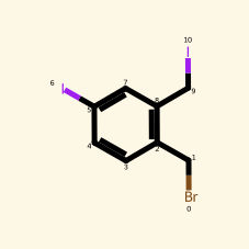 BrCc1ccc(I)cc1CI